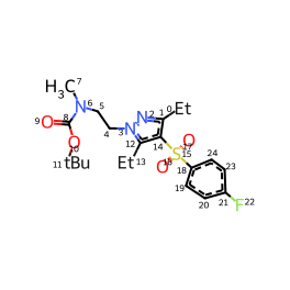 CCc1nn(CCN(C)C(=O)OC(C)(C)C)c(CC)c1S(=O)(=O)c1ccc(F)cc1